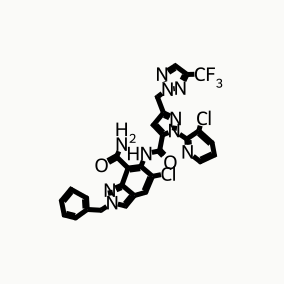 NC(=O)c1c(NC(=O)c2cc(Cn3ncc(C(F)(F)F)n3)nn2-c2ncccc2Cl)c(Cl)cc2cn(Cc3ccccc3)nc12